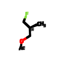 CC(=O)OC[C@H](C)CF